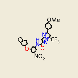 COc1ccc(-c2cc(C(F)(F)F)n3nc(C(=O)Nc4cc(Oc5ccc6c(c5)CCC6)cc([N+](=O)[O-])c4)cc3n2)cc1